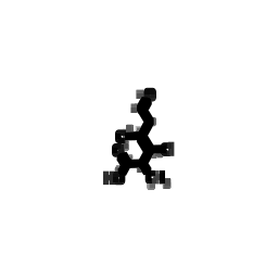 CC(C(=O)O)/C(Cl)=C(\Cl)C[C]=O